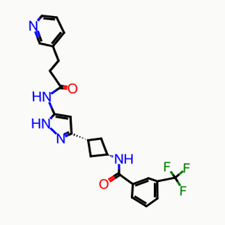 O=C(CCc1cccnc1)Nc1cc([C@H]2C[C@@H](NC(=O)c3cccc(C(F)(F)F)c3)C2)n[nH]1